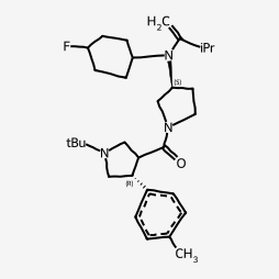 C=C(C(C)C)N(C1CCC(F)CC1)[C@H]1CCN(C(=O)C2CN(C(C)(C)C)C[C@H]2c2ccc(C)cc2)C1